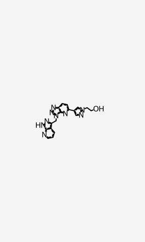 OCCn1cc(-c2ccc3nnn(Cc4n[nH]c5ncccc45)c3n2)cn1